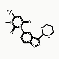 Cn1c(C(F)(F)F)cc(=O)n(-c2ccc3nsc(C4OCCCO4)c3c2)c1=O